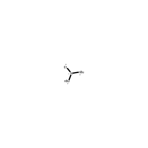 [CH2]CN(CCCC)CCCC